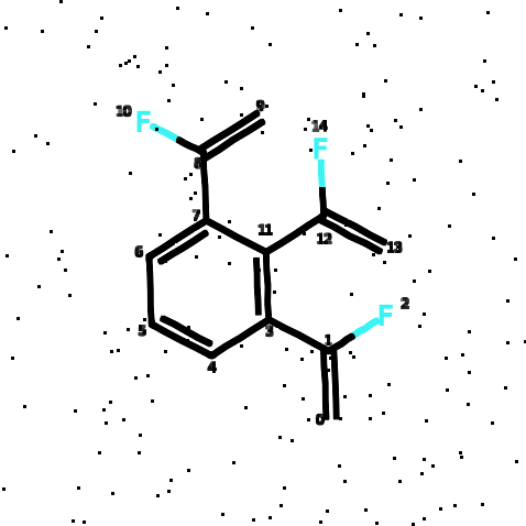 C=C(F)c1cccc(C(=C)F)c1C(=C)F